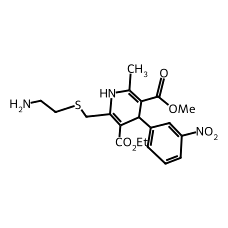 CCOC(=O)C1=C(CSCCN)NC(C)=C(C(=O)OC)C1c1cccc([N+](=O)[O-])c1